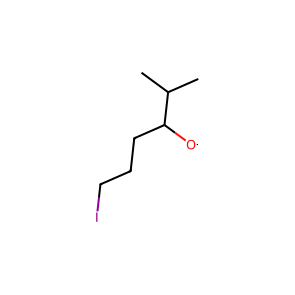 CC(C)C([O])CCCI